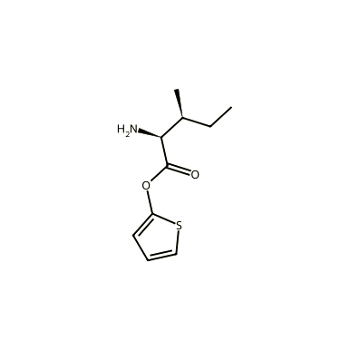 CC[C@H](C)[C@H](N)C(=O)Oc1cccs1